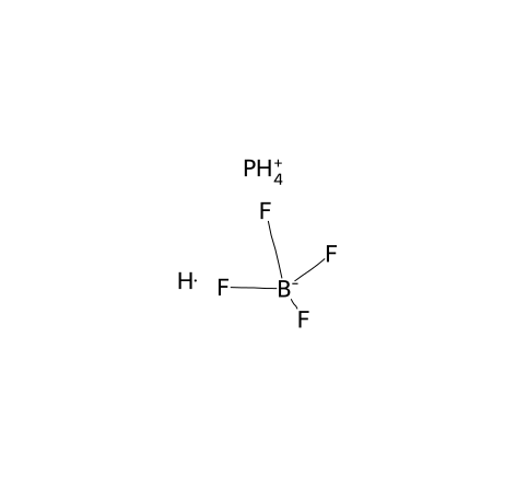 F[B-](F)(F)F.[H].[PH4+]